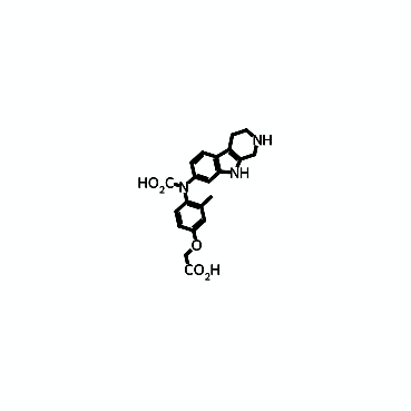 Cc1cc(OCC(=O)O)ccc1N(C(=O)O)c1ccc2c3c([nH]c2c1)CNCC3